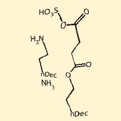 CCCCCCCCCCCCN.CCCCCCCCCCCCOC(=O)CCC(=O)OS(=O)(=O)O.N